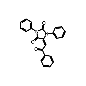 O=C(/C=C1\C(=O)N(c2ccccc2)C(=O)N1c1ccccc1)c1ccccc1